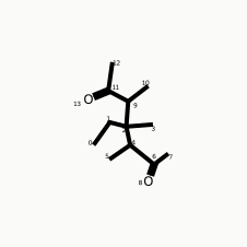 CCC(C)(C(C)C(C)=O)C(C)C(C)=O